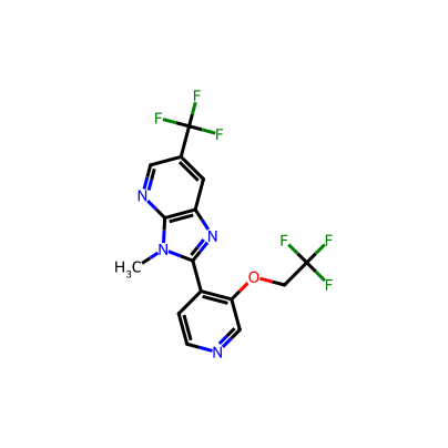 Cn1c(-c2ccncc2OCC(F)(F)F)nc2cc(C(F)(F)F)cnc21